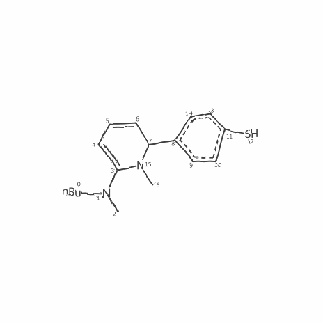 CCCCN(C)C1=CC=CC(c2ccc(S)cc2)N1C